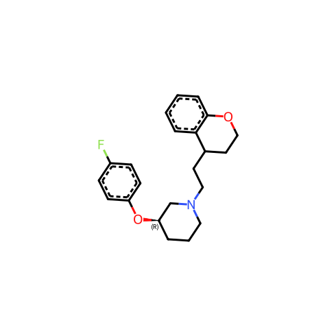 Fc1ccc(O[C@@H]2CCCN(CCC3CCOc4ccccc43)C2)cc1